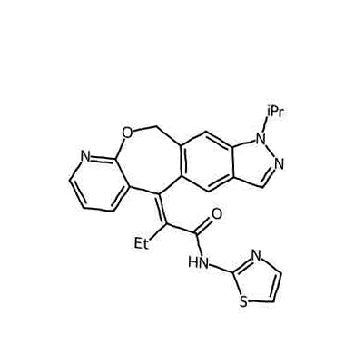 CCC(C(=O)Nc1nccs1)=C1c2cc3cnn(C(C)C)c3cc2COc2ncccc21